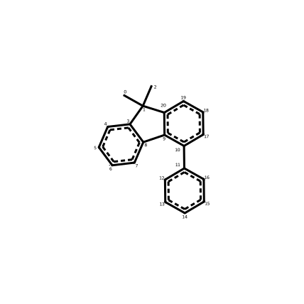 CC1(C)c2cc[c]cc2-c2c(-c3ccccc3)cccc21